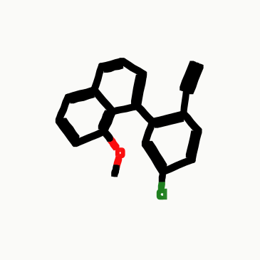 C#Cc1ccc(Cl)cc1-c1cccc2cccc(OC)c12